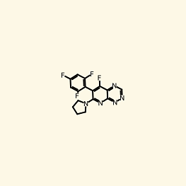 Fc1cc(F)c(-c2c(N3CCCC3)nc3nncnc3c2F)c(F)c1